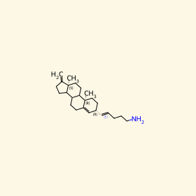 C=C1CCC2C3CCC4=C[C@@H](/C=C/CCCN)CC[C@]4(C)C3CC[C@]12C